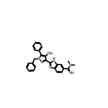 CN(C)C(=N)c1ccc2nc(-c3nn(Cc4ccccc4)c(-c4ccccc4)c3O)[nH]c2c1